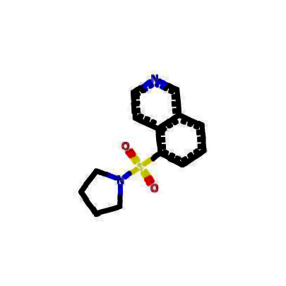 O=S(=O)(c1cccc2cnccc12)N1CCCC1